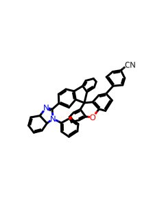 N#Cc1ccc(-c2ccc3c(c2)C2(C4=CCCC=C4c4ccc(C5=NC6C=CC=CC6N5c5ccccc5)cc42)c2ccccc2O3)cc1